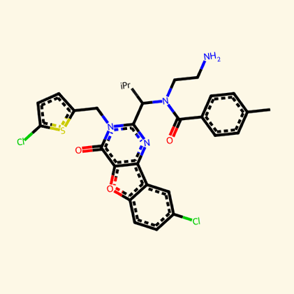 Cc1ccc(C(=O)N(CCN)C(c2nc3c(oc4ccc(Cl)cc43)c(=O)n2Cc2ccc(Cl)s2)C(C)C)cc1